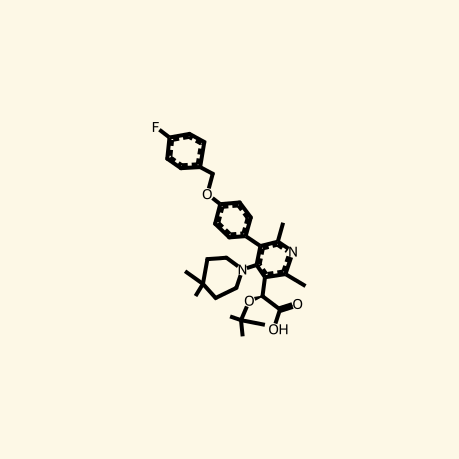 Cc1nc(C)c([C@H](OC(C)(C)C)C(=O)O)c(N2CCC(C)(C)CC2)c1-c1ccc(OCc2ccc(F)cc2)cc1